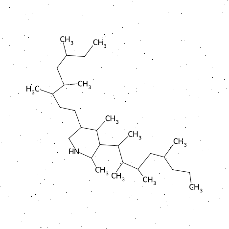 CCCC(C)CC(C)C(C)C(C)C1C(C)NCC(CCC(C)C(C)CC(C)CC)C1C